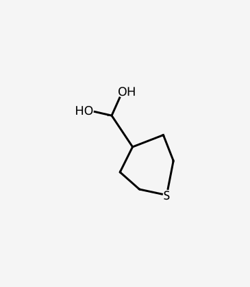 O[C](O)C1CCSCC1